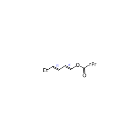 CC/C=C/C=C/OC(=O)CCC